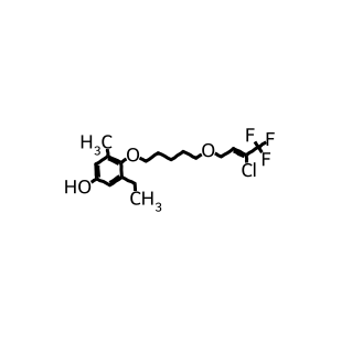 CCc1cc(O)cc(C)c1OCCCCCOCC=C(Cl)C(F)(F)F